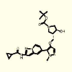 Cn1ncc(OC[C@@H]2CN(C(=O)OC(C)(C)C)C[C@H]2O)c1-c1ccn2nc(NC(=O)C3CC3)cc2c1